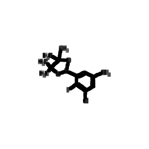 Cc1cc(Cl)c(F)c(B2OC(C)(C)C(C)(C)O2)c1